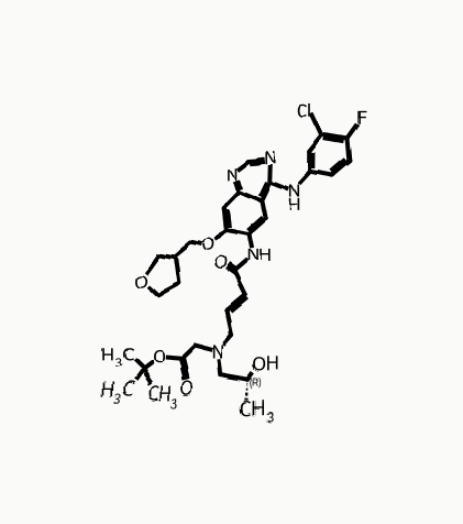 C[C@@H](O)CN(CC=CC(=O)Nc1cc2c(Nc3ccc(F)c(Cl)c3)ncnc2cc1OCC1CCOC1)CC(=O)OC(C)(C)C